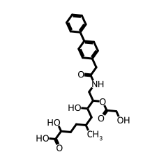 CC(CCC(O)C(=O)O)CC(O)C(CNC(=O)Cc1ccc(-c2ccccc2)cc1)OC(=O)CO